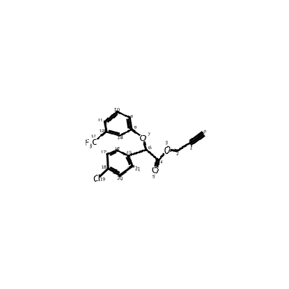 C#CCOC(=O)C(Oc1cccc(C(F)(F)F)c1)c1ccc(Cl)cc1